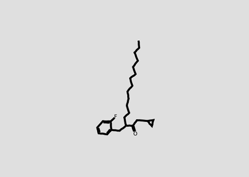 CCCCCCCCCCCCCC(Cc1ccccc1F)C(=O)CC1CC1